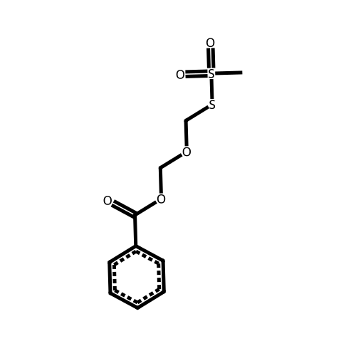 CS(=O)(=O)SCOCOC(=O)c1ccccc1